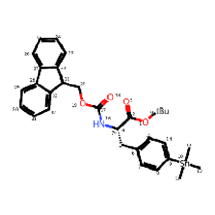 CC(C)(C)OC(=O)[C@H](Cc1cc[c]([Sn]([CH3])([CH3])[CH3])cc1)NC(=O)OCC1c2ccccc2-c2ccccc21